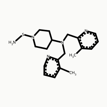 Cc1cccnc1CN(Cc1ncccc1C)C1CCN(SN)CC1